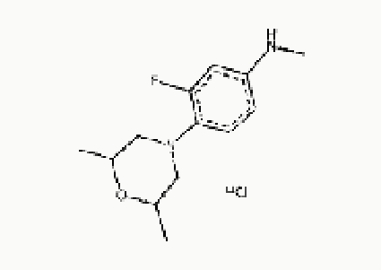 CNc1ccc(N2CC(C)OC(C)C2)c(F)c1.Cl